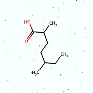 [CH2]C(CC)CCC(C)C(=O)O